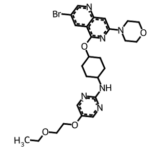 CCOCCOc1cnc(NC2CCC(Oc3nc(N4CCOCC4)cc4ncc(Br)cc34)CC2)nc1